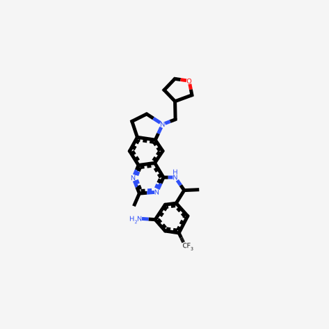 Cc1nc(NC(C)c2cc(N)cc(C(F)(F)F)c2)c2cc3c(cc2n1)CCN3CC1CCOC1